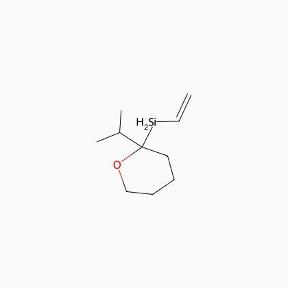 C=C[SiH2]C1(C(C)C)CCCCO1